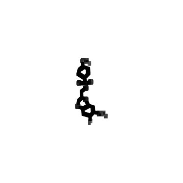 Cc1ccc(S(=O)(=O)OCC2COc3cc(F)c(N)cc3O2)cc1